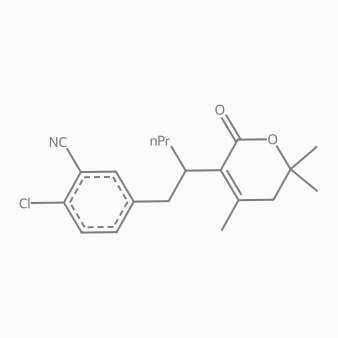 CCCC(Cc1ccc(Cl)c(C#N)c1)C1=C(C)CC(C)(C)OC1=O